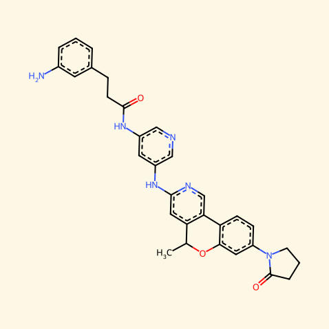 CC1Oc2cc(N3CCCC3=O)ccc2-c2cnc(Nc3cncc(NC(=O)CCc4cccc(N)c4)c3)cc21